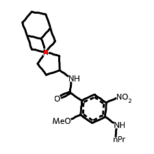 CCCNc1cc(OC)c(C(=O)NC2CCN(C3C4CCCC3CCC4)C2)cc1[N+](=O)[O-]